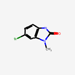 CN1C(=O)[N]c2ccc(Br)cc21